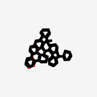 CC1(C)c2ccccc2-c2cccc(N(c3cccc(-c4ccccc4)c3-c3ccccc3-c3ccccc3)c3cccc4c3c3ccccc3n4-c3ccccc3)c21